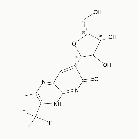 Cc1nc2cc([C@@H]3O[C@H](CO)[C@H](O)C3O)c(=O)nc-2[nH]c1C(F)(F)F